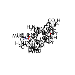 C=CCOC(=O)NCCCC[C@H](NC(=O)[C@H](CC(C)C)NC(=O)[C@H](CC(C)C)NC(=O)C(NC(=O)[C@H](CC(C)C)NC(=O)[C@@H]1CCCN1C(=O)[C@H](CO)NC(=O)C(NC(=O)[C@H](CCC(N)=O)NC(=O)[C@H](CCC(=O)O)NC(=O)[C@H](CC/C=C/C(=O)OC)NC(=O)[C@H](CC(N)=O)NC(C)=O)C(C)C)C(C)O)C(=O)O